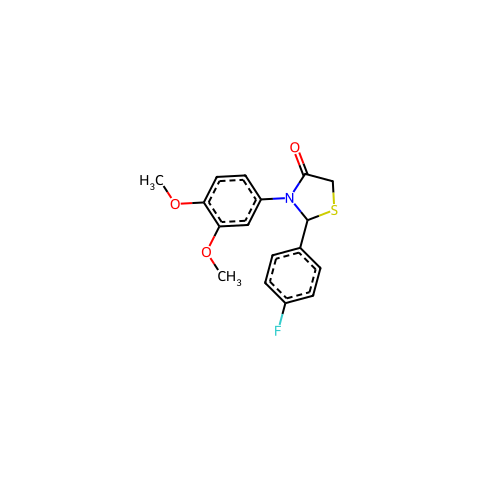 COc1ccc(N2C(=O)CSC2c2ccc(F)cc2)cc1OC